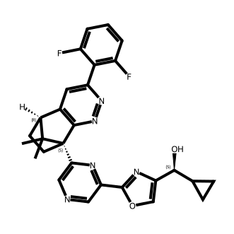 CC1(C)[C@H]2CC[C@]1(c1cncc(-c3nc([C@@H](O)C4CC4)co3)n1)c1nnc(-c3c(F)cccc3F)cc12